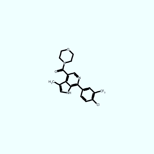 Cc1c[nH]c2c(-c3ccc(Cl)c(C(F)(F)F)c3)ncc(C(=O)N3CCOCC3)c12